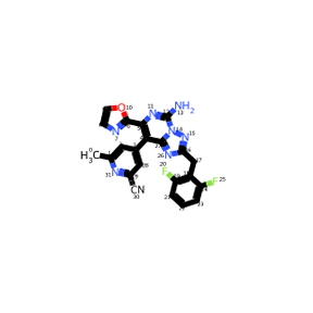 Cc1cc(-c2c(-c3ncco3)nc(N)n3nc(Cc4c(F)cccc4F)nc23)cc(C#N)n1